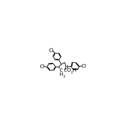 CC(c1ccc(Cl)cc1)C(CN(C(=O)O)c1ccc(Cl)cc1)c1ccc(Cl)cc1